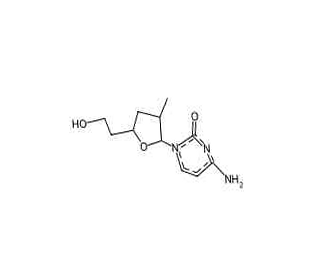 CC1CC(CCO)OC1n1ccc(N)nc1=O